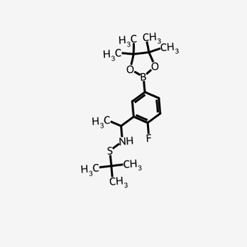 CC(NSC(C)(C)C)c1cc(B2OC(C)(C)C(C)(C)O2)ccc1F